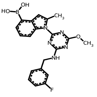 COc1nc(NCc2cccc(F)c2)nc(-n2c(C)cc3c(B(O)O)cccc32)n1